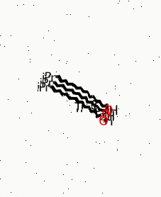 [2H]OCCCCCCCCCCCCCCCC(C)C.[2H]OCCCCCCCCCCCCCCCC(C)C.[2H]OCCCCCCCCCCCCCCCC(C)C.[Ti]